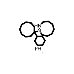 C1CCCNN(C2(C3CCCCC3)CCCCCCCC2)CCC1.P